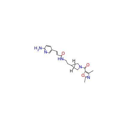 Cc1nc(C)c(C(=O)N2C[C@@H]3C(CCNC(=O)/C=C/c4ccc(N)nc4)[C@@H]3C2)o1